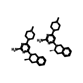 C[C@@H]1Cc2ccccc2CN1c1cc(N2CCN(C)CC2)nc(N)n1.C[C@H]1Cc2ccccc2CN1c1cc(N2CCN(C)CC2)nc(N)n1